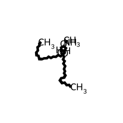 CCCCC/C=C\C/C=C\CCCCCCCCC1(CCCCCCCC/C=C\C/C=C\CCCCC)O[C@H]2C[C@@H](ONC)C[C@H]2O1